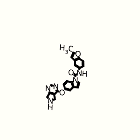 Cc1cc2cc(NC(=O)n3ccc4cc(Oc5ncnc6c5CNC6)ccc43)ccc2o1